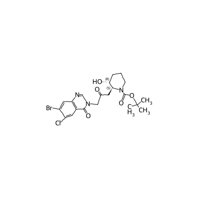 CC(C)(C)OC(=O)N1CCC[C@@H](O)[C@@H]1CC(=O)Cn1cnc2cc(Br)c(Cl)cc2c1=O